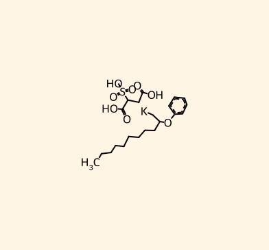 CCCCCCCCCC([CH2][K])Oc1ccccc1.O=C(O)CC(C(=O)O)S(=O)(=O)O